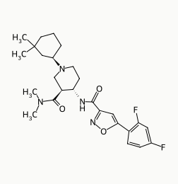 CN(C)C(=O)[C@H]1CN([C@@H]2CCCC(C)(C)C2)CC[C@@H]1NC(=O)c1cc(-c2ccc(F)cc2F)on1